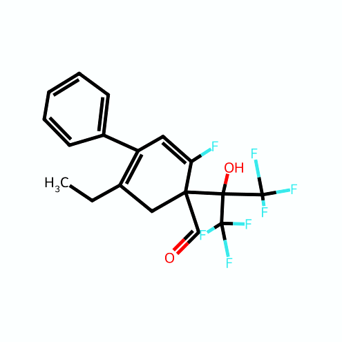 CCC1=C(c2ccccc2)C=C(F)C(C=O)(C(O)(C(F)(F)F)C(F)(F)F)C1